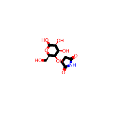 O=C1CCC(=O)N1.OC[C@H]1OC(O)[C@H](O)[C@@H](O)[C@H]1O